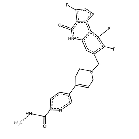 CNC(=O)c1ccc(C2=CCN(Cc3cc4[nH]c(=O)c5c(F)ccn5c4c(F)c3F)CC2)cn1